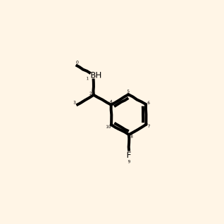 CBC(C)c1cccc(F)c1